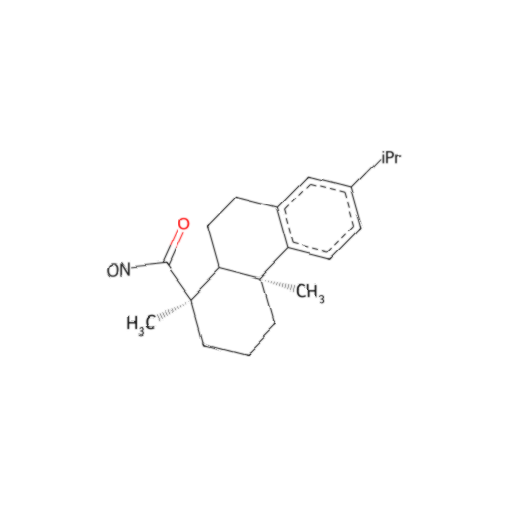 CC(C)c1ccc2c(c1)CCC1[C@](C)(C(=O)N=O)CCC[C@]21C